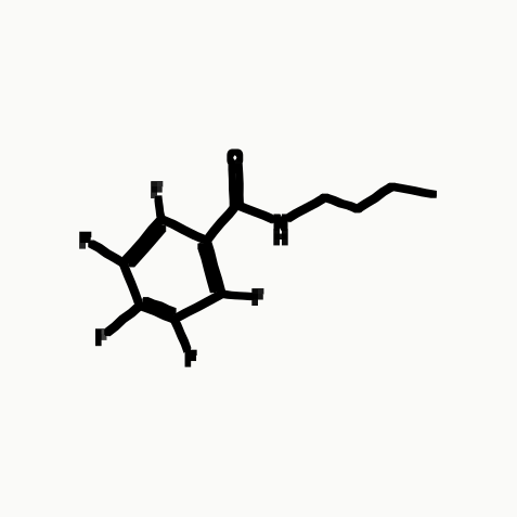 CCCCNC(=O)c1c(F)c(F)c(F)c(F)c1F